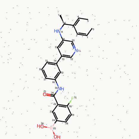 C/C=C\C(=C/C)[C@H](C)Nc1cncc(-c2cccc(NC(=O)c3cc(B(O)O)ccc3F)c2)c1